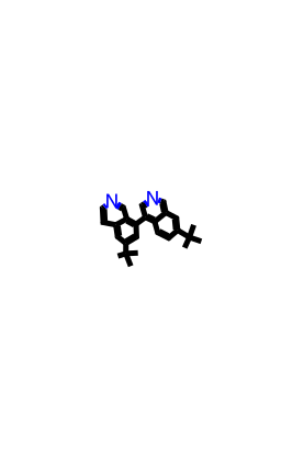 CC(C)(C)c1ccc2c(-c3cc(C(C)(C)C)cc4ccncc34)cncc2c1